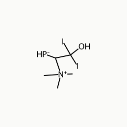 C[N+](C)(C)C([PH-])C(O)(I)I